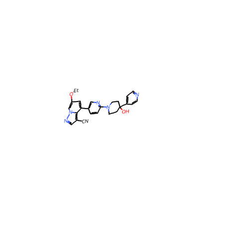 CCOc1cc(-c2ccc(N3CCC(O)(c4ccncc4)CC3)nc2)c2c(C#N)cnn2c1